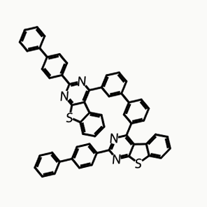 c1ccc(-c2ccc(-c3nc(-c4cccc(-c5cccc(-c6nc(-c7ccc(-c8ccccc8)cc7)nc7sc8ccccc8c67)c5)c4)c4c(n3)sc3ccccc34)cc2)cc1